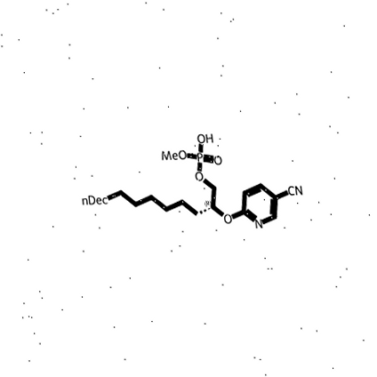 CCCCCCCCCCCCCCCC[C@H](COP(=O)(O)OC)Oc1ccc(C#N)cn1